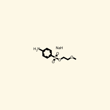 COCCOS(=O)(=O)c1ccc(N)cc1.[NaH]